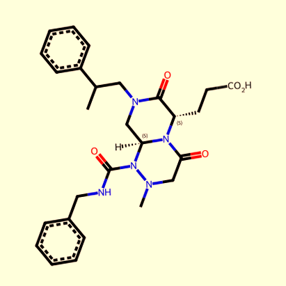 CC(CN1C[C@H]2N(C(=O)CN(C)N2C(=O)NCc2ccccc2)[C@@H](CCC(=O)O)C1=O)c1ccccc1